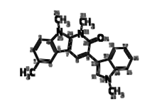 Cc1ccc2c(c1)c1cc(-c3cn(C)c4ccccc34)c(=O)n(C)c1n2C